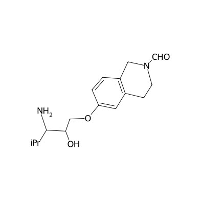 CC(C)C(N)C(O)COc1ccc2c(c1)CCN(C=O)C2